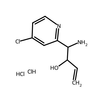 C=CC(O)C(N)c1cc(Cl)ccn1.Cl.Cl